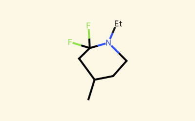 CCN1CCC(C)CC1(F)F